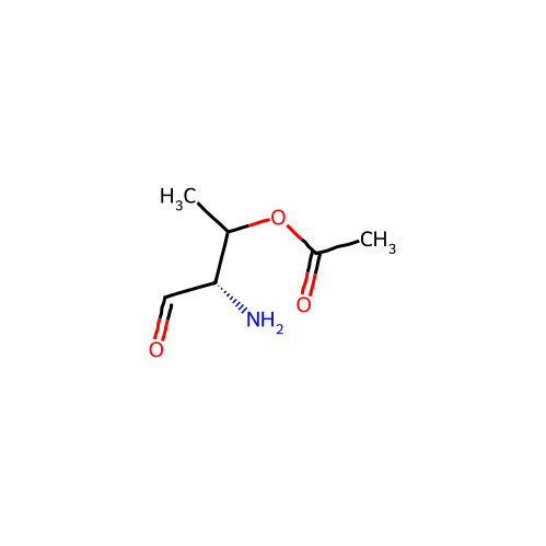 CC(=O)OC(C)[C@H](N)C=O